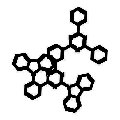 c1ccc(-c2nc(-c3ccccc3)nc(-c3cccc(-c4nc(-c5ccccc5-n5c6ccccc6c6ccccc65)nc(-n5c6ccccc6c6ccccc65)n4)c3)n2)cc1